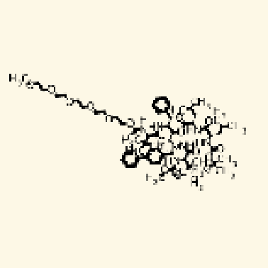 COCCOCCOCCOCCOCCOC(=O)N[C@H](C(=O)N[C@@H](Cc1ccccc1)[C@H](CN(Cc1ccc(-c2ccccn2)cc1)NC(=O)[C@@H](NC(=O)OC)C(C)(C)C)OC(=O)[C@H](CC(C)C)NC(=O)[C@@H](CC(C)C)NC(=O)OC(C)(C)C)C(C)(C)C